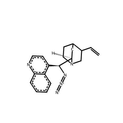 C=CC1CN2CCC1C[C@@H]2[C@@H](N=[N+]=[N-])c1ccnc2ccccc12